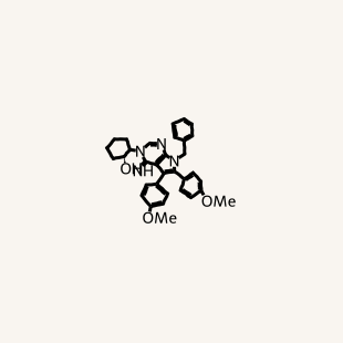 COc1ccc(-c2c(-c3ccc(OC)cc3)n(Cc3ccccc3)c3ncn(C4CCCC[C@H]4O)c(=N)c23)cc1